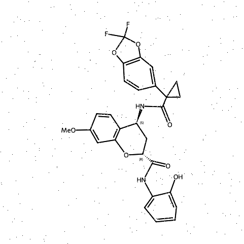 COc1ccc2c(c1)O[C@@H](C(=O)Nc1ccccc1O)C[C@@H]2NC(=O)C1(c2ccc3c(c2)OC(F)(F)O3)CC1